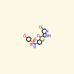 COc1ccc(S(=O)(=O)Nc2ccc(F)c(C(=O)c3c[nH]c4ncc(Cl)cc34)c2F)cc1